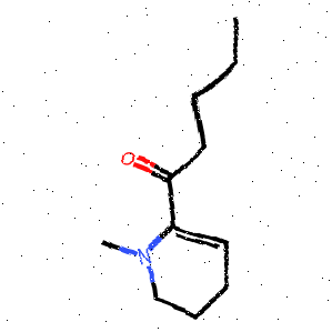 CCCCC(=O)C1=CCCCN1C